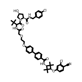 CC(C)(C)C(NC(=O)COCCOc1ccc(-c2ccc(C(=O)N[C@H]3C(C)(C)[C@H](Oc4ccc(C#N)c(Cl)c4)C3(C)C)cc2)cc1)C(=O)N1C[C@H](O)C[C@H]1C(=O)NCc1ccc(Cl)cc1